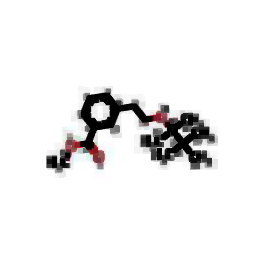 COC(=O)c1cccc(CCO[Si](C)(C)C(C)(C)C)c1